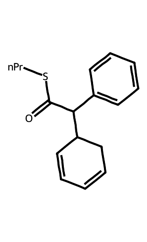 CCCSC(=O)C(c1ccccc1)C1C=CC=CC1